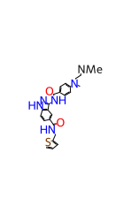 CNCCN(C)c1ccc(C(=O)Nc2n[nH]c3ccc(C(=O)NCc4cccs4)cc23)cc1